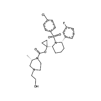 C[C@H]1CN(CCO)CCN1C(=O)OC1([C@H]2CCC[C@@H](c3cccc(F)c3)N2S(=O)(=O)c2ccc(Cl)cc2)CC1